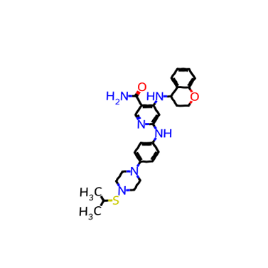 CC(C)SN1CCN(c2ccc(Nc3cc(NC4CCOc5ccccc54)c(C(N)=O)cn3)cc2)CC1